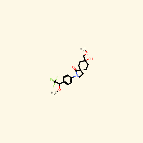 COC[C@]1(O)CC[C@]2(CCN(c3ccc([C@@H](OC)C(F)(F)F)cc3)C2=O)CC1